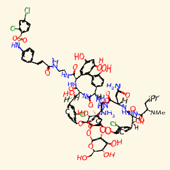 CN[C@H](CC(C)C)C(=O)N[C@H]1C(=O)N[C@@H](CC(N)=O)C(=O)NC2C(=O)N[C@H]3C(=O)N[C@H](C(=O)NC(C(=O)NCCNC(=O)/C=C/c4ccc(NS(=O)(=O)c5ccc(Cl)cc5Cl)cc4)c4cc(O)cc(O)c4-c4cc3ccc4O)[C@H](O)c3ccc(c(Cl)c3)Oc3cc2cc(c3O[C@@H]2O[C@H](CO)[C@@H](O)[C@H](O)[C@H]2OC2C[C@](C)(N)[C@H](O)[C@H](C)O2)Oc2ccc(cc2Cl)[C@H]1O